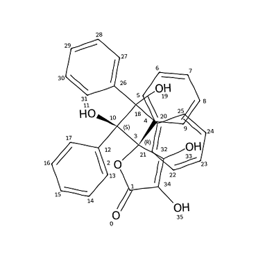 O=C1O[C@](c2ccccc2)([C@](O)(c2ccccc2)C(O)(c2ccccc2)c2ccccc2)C(O)=C1O